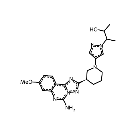 COc1ccc2c(c1)nc(N)n1nc([C@@H]3CCCN(c4cnn(C(C)C(C)O)c4)C3)nc21